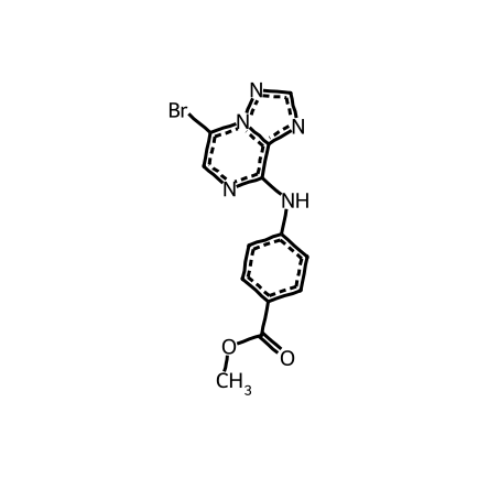 COC(=O)c1ccc(Nc2ncc(Br)n3ncnc23)cc1